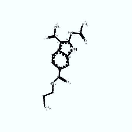 NCCNC(=O)c1ccc2c(C(N)=O)c(NC(N)=O)[nH]c2c1